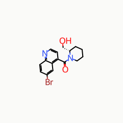 O=C(c1ccnc2ccc(Br)cc12)N1CCCC[C@H]1CO